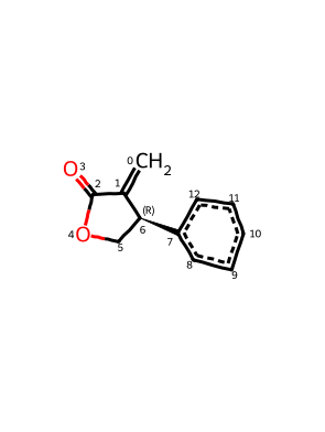 C=C1C(=O)OC[C@@H]1c1ccccc1